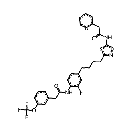 O=C(Cc1ccccn1)Nc1nnc(CCCCc2ccc(NC(=O)Cc3cccc(OC(F)(F)F)c3)c(F)c2)s1